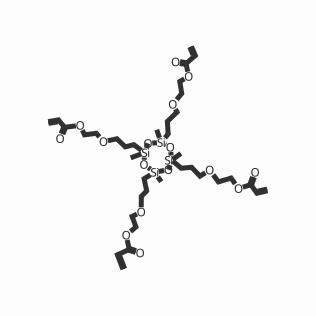 C=CC(=O)OCCOCCC[Si]1(C)O[Si](C)(CCCOCCOC(=O)C=C)O[Si](C)(CCCOCCOC(=O)C=C)O[Si](C)(CCCOCCOC(=O)C=C)O1